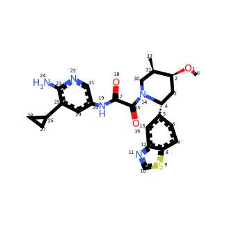 CO[C@H]1C[C@H](c2ccc3scnc3c2)N(C(=O)C(=O)Nc2cnc(N)c(C3CC3)c2)C[C@H]1C